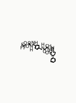 C[C@H](NC(=O)[C@H]1C[C@@H](c2ccccc2)CCN1)C(=O)NCc1ccc(C(=N)NC(=O)OC(=O)C(F)(F)F)cc1